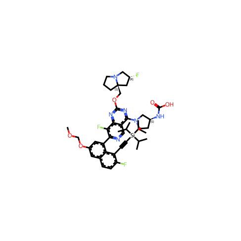 COCOc1cc(-c2ncc3c(N4CC[C@H](NC(=O)O)C4)nc(OC[C@@]45CCCN4C[C@H](F)C5)nc3c2F)c2c(C#C[Si](C(C)C)(C(C)C)C(C)C)c(F)ccc2c1